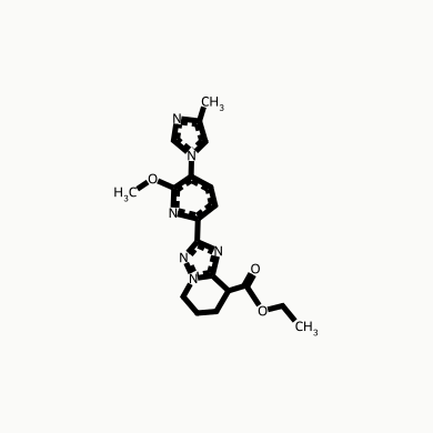 CCOC(=O)C1CCCn2nc(-c3ccc(-n4cnc(C)c4)c(OC)n3)nc21